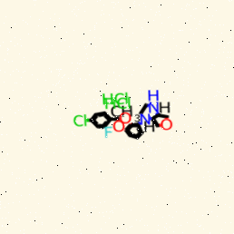 CC1(c2ccc(Cl)cc2F)Oc2cccc(N3CCN[C@H]4COC[C@H]43)c2O1.Cl.Cl